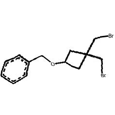 BrCC1(CBr)CC(OCc2ccccc2)C1